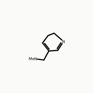 CNCC1=CCCN=C1